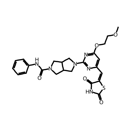 COCCOc1cc(C=C2SC(=O)NC2=O)nc(N2CC3CN(C(=O)Nc4ccccc4)CC3C2)n1